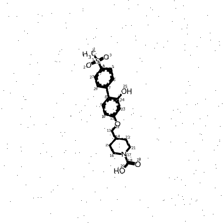 CS(=O)(=O)c1ccc(-c2ccc(OCC3CCN(C(=O)O)CC3)cc2O)cc1